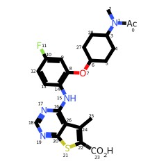 CC(=O)N(C)C1CCC(Oc2cc(F)ccc2Nc2ncnc3sc(C(=O)O)c(C)c23)CC1